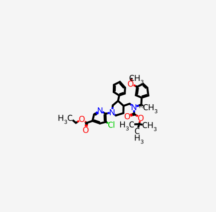 CCOC(=O)c1cnc(N2CCC(CN(C(=O)OC(C)(C)C)[C@H](C)c3cccc(OC)c3)C(c3ccccc3)C2)c(Cl)c1